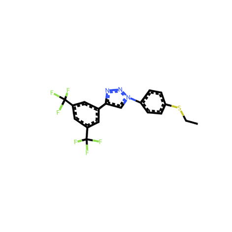 CCSc1ccc(-n2cc(-c3cc(C(F)(F)F)cc(C(F)(F)F)c3)nn2)cc1